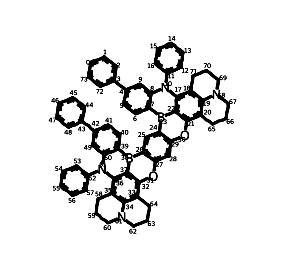 c1ccc(-c2ccc3c(c2)N(c2ccccc2)c2c4c5c(c6c2B3c2cc3c(cc2O6)Oc2c6c7c(c8c2B3c2ccc(-c3ccccc3)cc2N8c2ccccc2)CCCN7CCC6)CCCN5CCC4)cc1